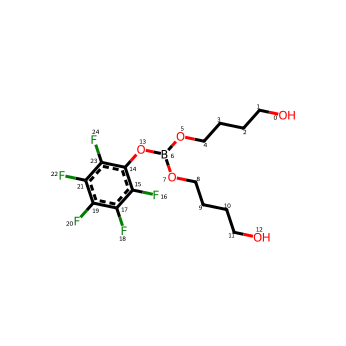 OCCCCOB(OCCCCO)Oc1c(F)c(F)c(F)c(F)c1F